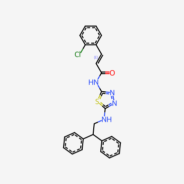 O=C(/C=C/c1ccccc1Cl)Nc1nnc(NCC(c2ccccc2)c2ccccc2)s1